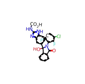 O=C(O)Nc1nc2cc(C3(O)c4ccccc4C(=O)N3c3c(F)ccc(Cl)c3F)ccc2[nH]1